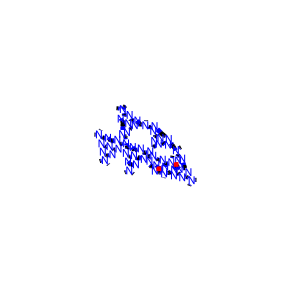 CN(C)C1=NC2=NC(N(C)C)=NC3=NC(N4C5=NC6=NC(N(C)C)=NC7=NC(=NC(=N5)N67)N5C6=NC7=NC(N(C)C)=NC8=NC(=NC(=N6)N78)N(C)C6=NC7=NC(N(C)C)=NC8=NC(=NC(=N6)N78)N(C)C6=NC7=NC(=NC8=NC5=NC(=N6)N78)N(C)C5=NC6=NC(N(C)C)=NC7=NC4=NC(=N5)N67)=NC(=N1)N23